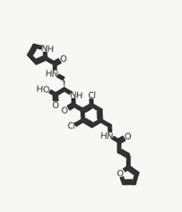 O=C(/C=C/c1ccco1)NCc1cc(Cl)c(C(=O)N[C@@H](CNC(=O)c2ccc[nH]2)C(=O)O)c(Cl)c1